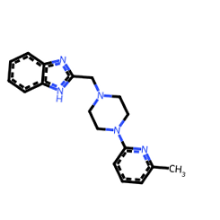 Cc1cccc(N2CCN(Cc3nc4ccccc4[nH]3)CC2)n1